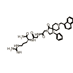 N=C(N)NCCC[C@H](NC(=O)CNC(=O)CN1CN(c2ccccc2)C2(CCN(Cc3cccc4ccccc34)CC2)C1=O)C(N)=O